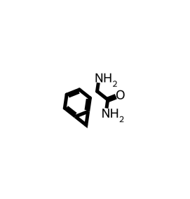 NCC(N)=O.c1ccc2c(c1)C2